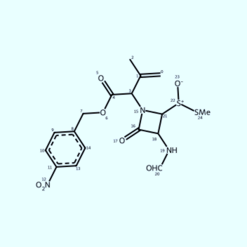 C=C(C)C(C(=O)OCc1ccc([N+](=O)[O-])cc1)N1C(=O)C(NC=O)C1[S+]([O-])SC